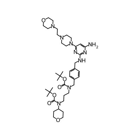 CC(C)(C)OC(=O)N(CCCN(C(=O)OC(C)(C)C)C1CCOCC1)Cc1ccc(CNc2nc(N)cc(N3CCN(CCN4CCOCC4)CC3)n2)cc1